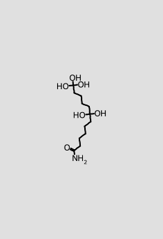 NC(=O)CCCCCC(O)(O)CCCCC(O)(O)O